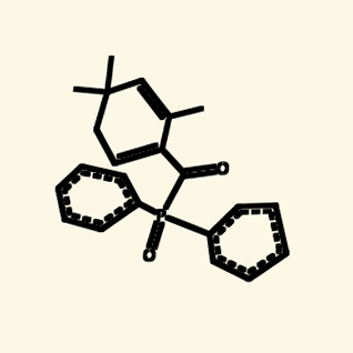 CC1=CC(C)(C)CC=C1C(=O)P(=O)(c1ccccc1)c1ccccc1